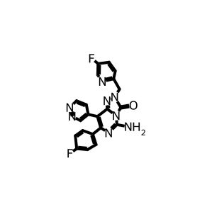 Nc1nc(-c2ccc(F)cc2)c(-c2ccnnc2)c2nn(Cc3ccc(F)cn3)c(=O)n12